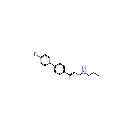 CCCNCC=C(C)c1ccc(-c2ccc(F)cc2)cc1